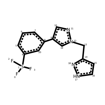 FS(F)(F)c1cccc(-c2cnn(Cc3cc[nH]n3)c2)c1